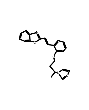 CC(CCOc1ccccc1C=Cc1nc2ccccc2o1)n1ccnc1